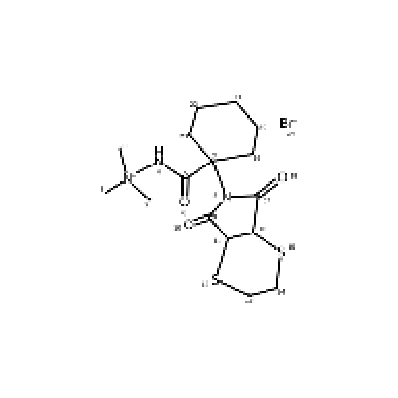 C[N+](C)(C)NC(=O)C1(N2C(=O)C3SCCSC3C2=O)CCCCC1.[Br-]